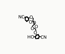 N#Cc1ccc(O)c(OCC2OCC(OC3COc4cc(C#N)ccc4O3)O2)c1